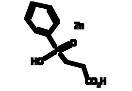 O=C(O)CCP(=O)(O)c1ccccc1.[Zn]